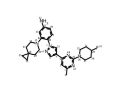 Cc1cc(-c2cnn(-c3ccc(N)cc3N3CCC4(CC3)CC4)c2)nc(N2CCC(F)CC2)n1